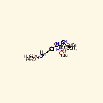 C[C@H](O[Si](C)(C)C(C)(C)C)c1nccn1[C@H](CNC(=O)OC(C)(C)C)c1cc(-c2ccc(C#C[C@@H]3[C@H]4CN(CCO[Si](C)(C)C(C)(C)C)C[C@@H]34)cc2)on1